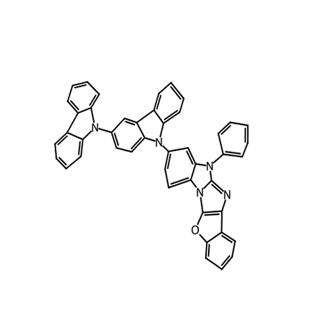 c1ccc(-n2c3cc(-n4c5ccccc5c5cc(-n6c7ccccc7c7ccccc76)ccc54)ccc3n3c4oc5ccccc5c4nc23)cc1